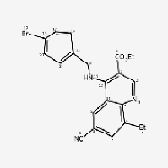 CCOC(=O)c1cnc2c(CC)cc(C#N)cc2c1NCc1ccc(Br)cc1